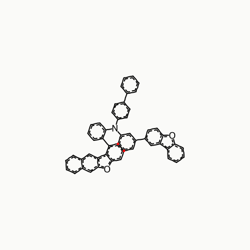 c1ccc(-c2ccc(N(c3cccc(-c4ccc5oc6ccccc6c5c4)c3)c3ccccc3-c3cccc4oc5cc6ccccc6cc5c34)cc2)cc1